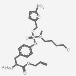 C=CCOC(=O)C(Cc1ccc(OP(=O)(OCc2ccc([N+](=O)[O-])s2)N(C)CCCCCl)cc1)NC(C)=O